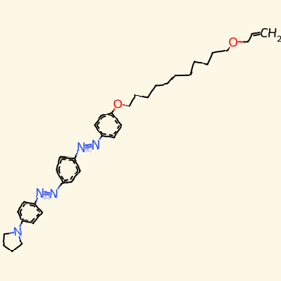 C=CCOCCCCCCCCCCCOc1ccc(/N=N/c2ccc(/N=N/c3ccc(N4CCCC4)cc3)cc2)cc1